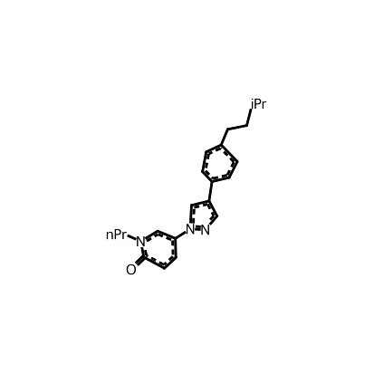 CCCn1cc(-n2cc(-c3ccc(CCC(C)C)cc3)cn2)ccc1=O